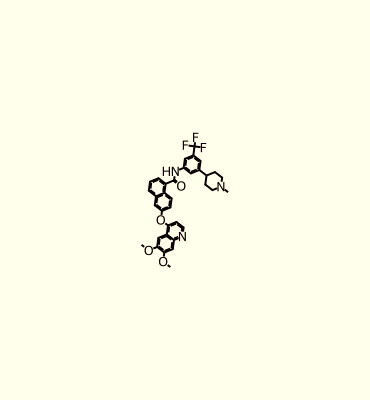 COc1cc2nccc(Oc3ccc4c(C(=O)Nc5cc(C6CCN(C)CC6)cc(C(F)(F)F)c5)cccc4c3)c2cc1OC